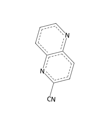 N#Cc1ccc2ncccc2n1